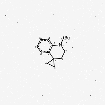 CC(C)(C)N1CCC2(CC2)c2ccccc21